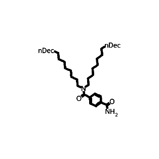 CCCCCCCCCCCCCCCCCCN(CCCCCCCCCCCCCCCCCC)C(=O)c1ccc(C(N)=O)cc1